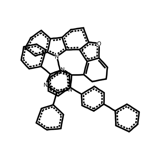 C1=c2oc3ccc4c5ccccc5n(-c5cccc(-c6ccc(-c7ccccc7)cc6)c5)c4c3c2=C(c2nc(-c3ccccc3)nc(-c3ccccc3)n2)CC1